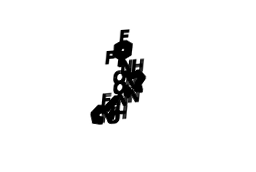 O=C(NCc1ccc(F)cc1F)C1CCc2cnc(NCC(F)(F)c3cccc[n+]3[O-])c(=O)n21